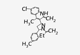 C=C1Nc2ccc(Cl)cc2C(C)=C1C1=NN(C(=C)CC)C(c2ccc(C)cc2)C1